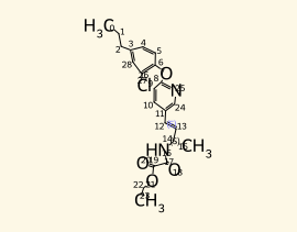 CCCc1ccc(Oc2ccc(/C=C/[C@H](C)NC(=O)C(=O)OCC)cn2)c(Cl)c1